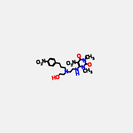 Cn1c(NCCN(CCO)CCCc2ccc([N+](=O)[O-])cc2)c([N+](=O)[O-])c(=O)n(C)c1=O